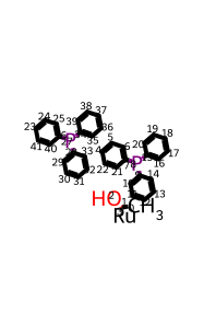 CCO.[Ru].c1ccc(P(c2ccccc2)c2ccccc2)cc1.c1ccc(P(c2ccccc2)c2ccccc2)cc1